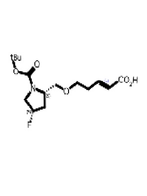 CC(C)(C)OC(=O)N1C[C@@H](F)C[C@H]1COCC/C=C/C(=O)O